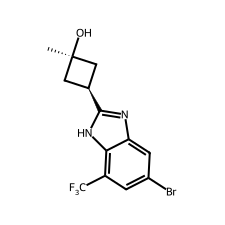 C[C@]1(O)C[C@@H](c2nc3cc(Br)cc(C(F)(F)F)c3[nH]2)C1